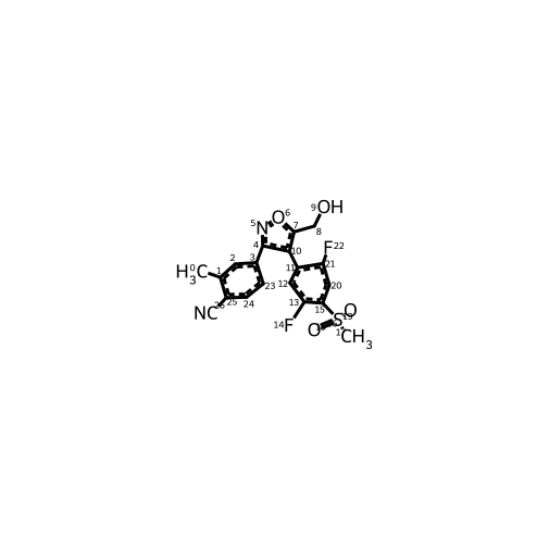 Cc1cc(-c2noc(CO)c2-c2cc(F)c(S(C)(=O)=O)cc2F)ccc1C#N